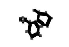 Cc1ccccc1.Nc1ccncc1